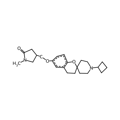 CN1CC(COc2ccc3c(c2)CCC2(CCN(C4CCC4)CC2)O3)CC1=O